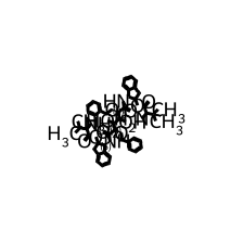 CC(C)C(N)C(=O)OC1Cc2ccccc2C1NC(=O)[C@H](OCc1ccccc1)C(O)C(O)[C@@H](OCc1ccccc1)C(=O)N[C@H]1c2ccccc2CC1OC(=O)C(N)C(C)C